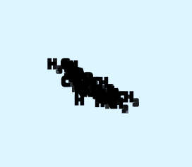 Cc1csc(C2(CN)[C@@H]3CN(c4nc5[nH]nc(-c6ccc7nc(C)sc7c6Cl)c5c(=O)n4C)C[C@@H]32)n1